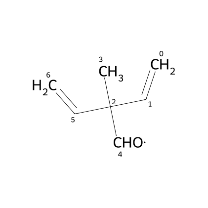 C=CC(C)([C]=O)C=C